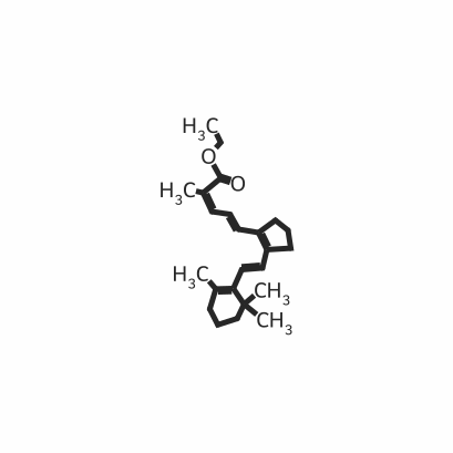 CCOC(=O)C(C)=CC=CC1=C(C=CC2=C(C)CCCC2(C)C)CCC1